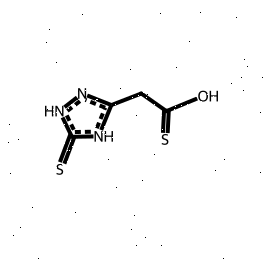 OC(=S)Cc1n[nH]c(=S)[nH]1